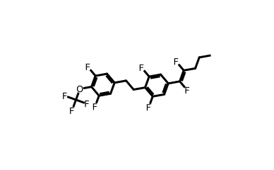 CCC/C(F)=C(\F)c1cc(F)c(CCc2cc(F)c(OC(F)(F)F)c(F)c2)c(F)c1